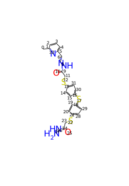 Cc1cccc(C=NNC(=O)CSc2ccc(Sc3ccc(SCC(=O)NN)cc3)cc2)n1